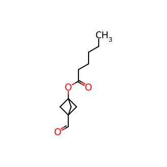 CCCCCC(=O)OC12CC(C=O)(C1)C2